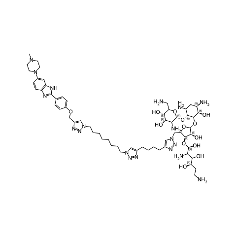 CN1CCN(c2ccc3nc(-c4ccc(OCc5cn(CCCCCCCCn6cc(CCCCc7cn(CC8OC(OC9[C@H](O[C@H]%10OC(CN)[C@@H](O)[C@H](O)C%10N)C(N)C[C@@H](N)[C@H]9O)[C@@H](O)[C@H]8O[C@@H](O)C(N)C(O)[C@H](O)CCN)nn7)nn6)nn5)cc4)[nH]c3c2)CC1